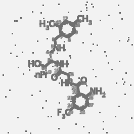 CCC[C@H](O)[C@H](CNCc1ccc(C)cc1C)NC(=O)CNC(=O)c1cc(C(F)(F)F)ccc1N